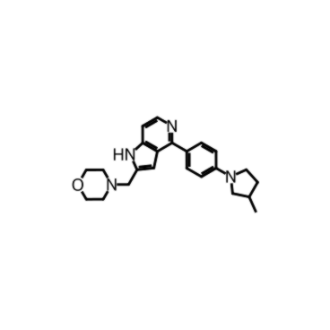 CC1CCN(c2ccc(-c3nccc4[nH]c(CN5CCOCC5)cc34)cc2)C1